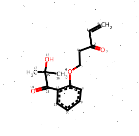 C=CC(=O)CCOc1ccccc1C(=O)C(C)(C)O